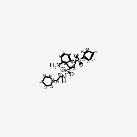 Nc1cccc2c1c(S(=O)(=O)NCCN1CCCCC1)cn2S(=O)(=O)c1ccccc1